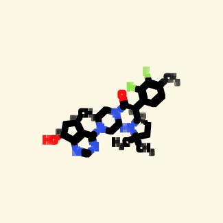 C[C@@H]1C[C@@H](O)c2ncnc(N3CCN(C(=O)[C@@H](c4ccc(C(F)(F)F)c(F)c4F)[C@@H]4CCC(C)(C)N4)CC3)c21